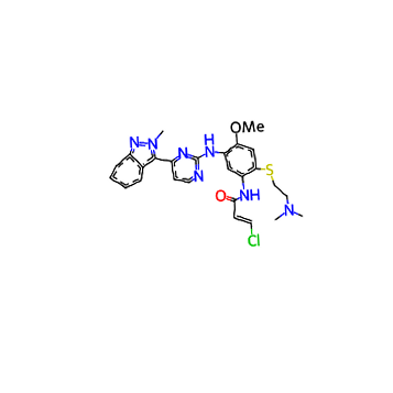 COc1cc(SCCN(C)C)c(NC(=O)/C=C/Cl)cc1Nc1nccc(-c2c3ccccc3nn2C)n1